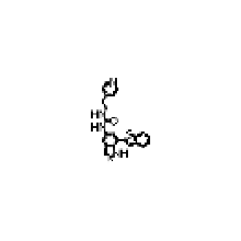 O=C(NCCc1ccncc1)Nc1cc(-c2cc3ccccc3s2)c2[nH]ncc2c1